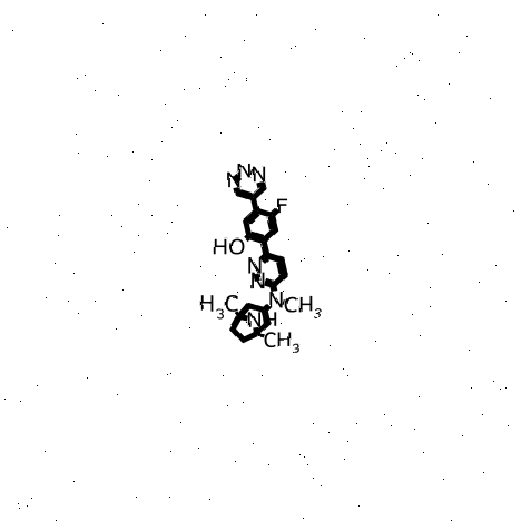 CN(c1ccc(-c2cc(F)c(-c3cnnnc3)cc2O)nn1)C1C[C@]2(C)CC[C@](C)(C1)N2